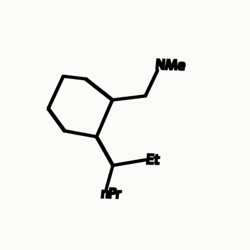 CCCC(CC)C1CCCCC1CNC